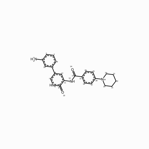 Nc1cccc(-c2c[nH]c(=O)c(NC(=O)c3ccc(N4CCCCC4)cc3)c2)c1